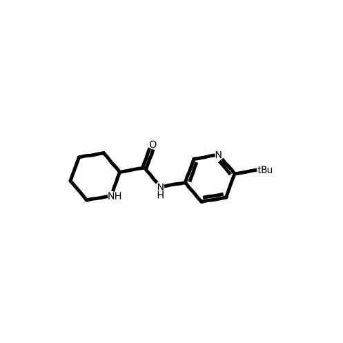 CC(C)(C)c1ccc(NC(=O)C2CCCCN2)cn1